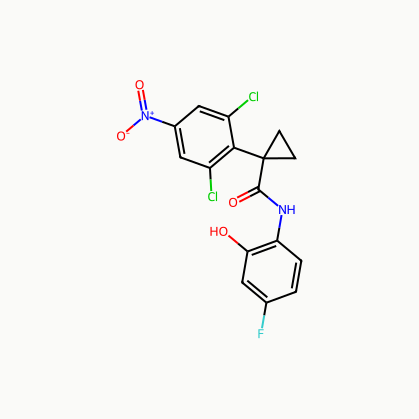 O=C(Nc1ccc(F)cc1O)C1(c2c(Cl)cc([N+](=O)[O-])cc2Cl)CC1